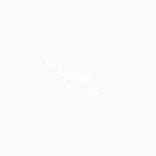 Cn1cc(-c2cc(-c3ccc(NCCNC(=O)C#Cc4cccc(C#N)n4)nc3)c3c(C#N)cnn3c2)cn1